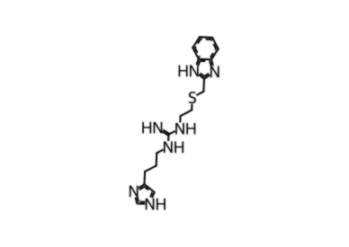 N=C(NCCCc1c[nH]cn1)NCCSCc1nc2ccccc2[nH]1